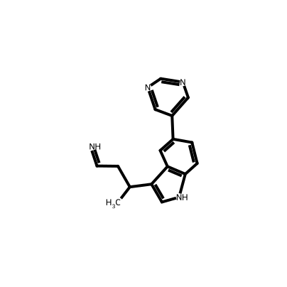 CC(CC=N)c1c[nH]c2ccc(-c3cncnc3)cc12